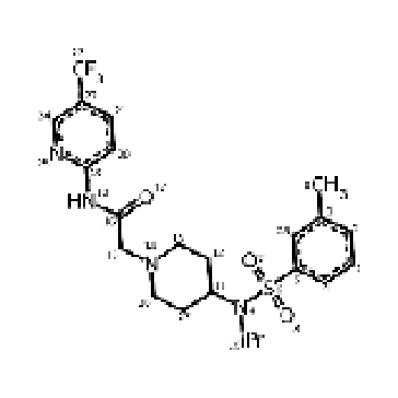 Cc1cccc(S(=O)(=O)N(C(C)C)C2CCN(CC(=O)Nc3ccc(C(F)(F)F)cn3)CC2)c1